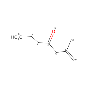 C=C(C)CC(=O)CCC(=O)O